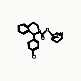 O=C(OC1CN2CCC1CC2)N1CCc2ccccc2C1c1ccc(Cl)cc1